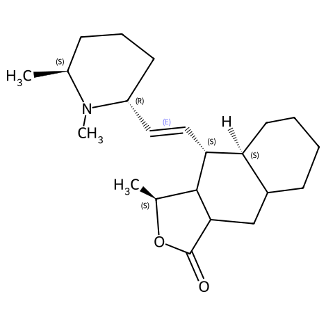 C[C@@H]1OC(=O)C2CC3CCCC[C@@H]3[C@@H](/C=C/[C@H]3CCC[C@H](C)N3C)C21